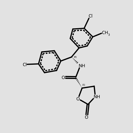 Cc1cc([C@H](NC(=O)[C@@H]2CNC(=O)O2)c2ccc(Cl)cc2)ccc1Cl